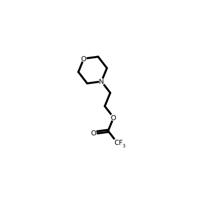 O=C(OCCN1CCOCC1)C(F)(F)F